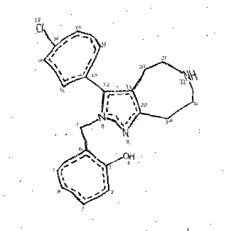 Oc1ccccc1Cn1nc2c(c1-c1ccc(Cl)cc1)CCNCC2